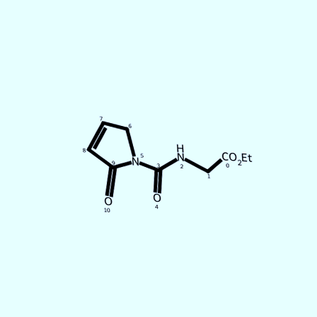 CCOC(=O)CNC(=O)N1CC=CC1=O